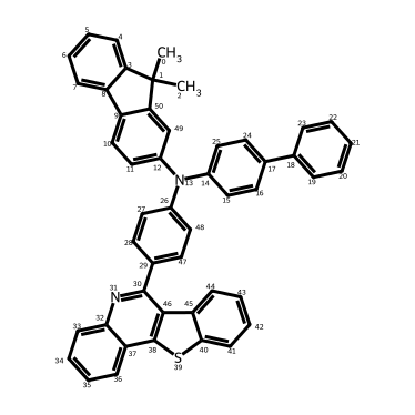 CC1(C)c2ccccc2-c2ccc(N(c3ccc(-c4ccccc4)cc3)c3ccc(-c4nc5ccccc5c5sc6ccccc6c45)cc3)cc21